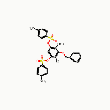 CCc1c(OS(=O)(=O)c2ccc(C)cc2)cc(OS(=O)(=O)c2ccc(C)cc2)c(C=O)c1OCc1ccccc1